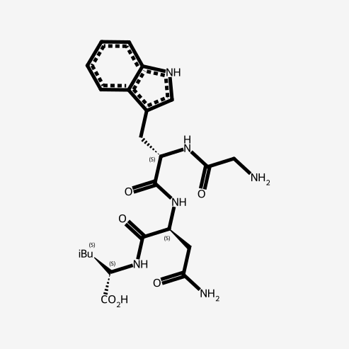 CC[C@H](C)[C@H](NC(=O)[C@H](CC(N)=O)NC(=O)[C@H](Cc1c[nH]c2ccccc12)NC(=O)CN)C(=O)O